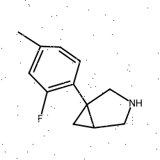 Cc1ccc(C23CNCC2C3)c(F)c1